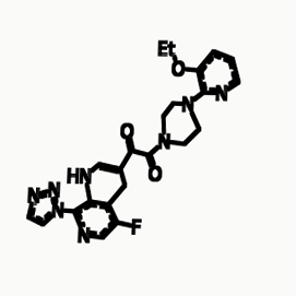 CCOc1cccnc1N1CCN(C(=O)C(=O)C2=CNc3c(-n4ccnn4)ncc(F)c3C2)CC1